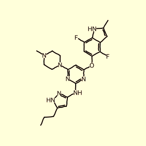 CCCc1cc(Nc2nc(Oc3cc(F)c4[nH]c(C)cc4c3F)cc(N3CCN(C)CC3)n2)n[nH]1